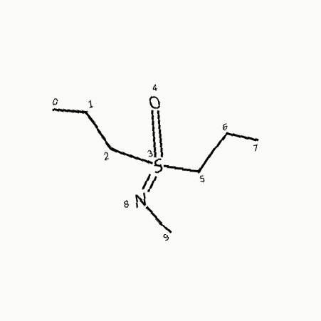 CCCS(=O)(CCC)=NC